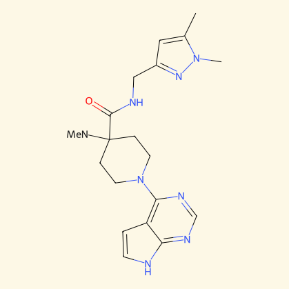 CNC1(C(=O)NCc2cc(C)n(C)n2)CCN(c2ncnc3[nH]ccc23)CC1